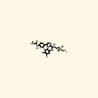 CNC(=O)Nc1ccc(-c2cnc3c(NCCS(N)(=O)=O)nc4cc(C)c(C)cc4n23)cc1